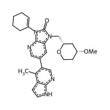 CO[C@@H]1CCO[C@H](Cn2c(=O)n(C3=CCCCC3)c3ncc(-c4cnc5[nH]ccc5c4C)cc32)C1